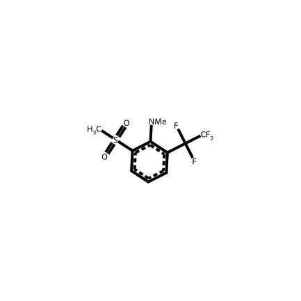 CNc1c(C(F)(F)C(F)(F)F)cccc1S(C)(=O)=O